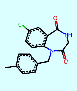 Cc1ccc(CN2C(=O)CNC(=O)c3cc(Cl)ccc32)cc1